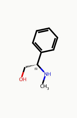 CN[C@H](CO)c1ccccc1